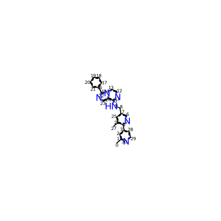 Cc1cc(-c2ncc(CNc3nccn4c(-c5ccccc5)ncc34)cc2C)ccn1